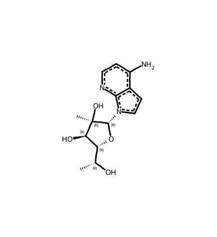 C[C@@H](O)[C@H]1O[C@@H](n2ccc3c(N)ccnc32)[C@](C)(O)[C@@H]1O